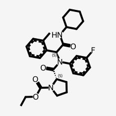 CCOC(=O)N1CCC[C@H]1C(=O)N(c1cccc(F)c1)[C@H](C(=O)NC1CCCCC1)c1ccccc1C